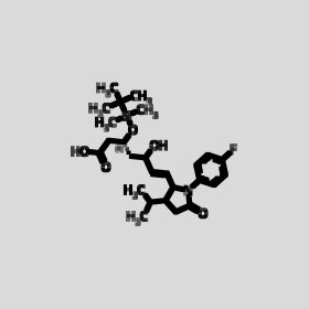 CC(C)C1CC(=O)N(c2ccc(F)cc2)C1C=CC(O)C[C@H](CC(=O)O)O[Si](C)(C)C(C)(C)C